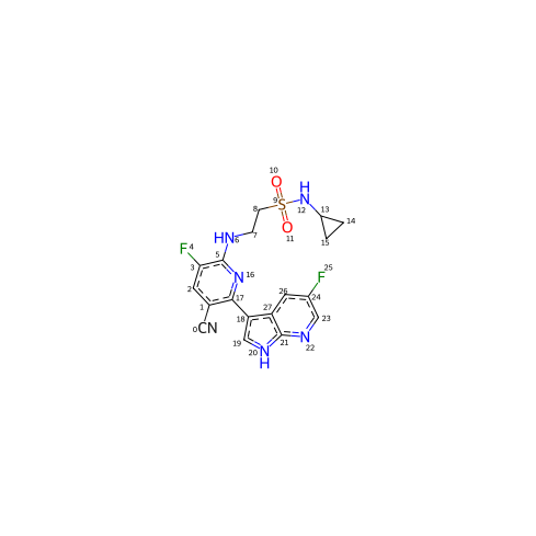 N#Cc1cc(F)c(NCCS(=O)(=O)NC2CC2)nc1-c1c[nH]c2ncc(F)cc12